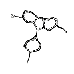 Brc1ccc2c3ccc(Br)cc3n(-c3ccc(I)cc3)c2c1